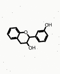 Oc1cccc(C2Oc3ccccc3CC2O)c1